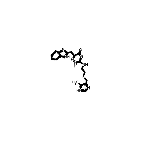 Cc1[nH]cnc1CSCCNc1nc(=O)c(Cc2nc3ccccc3[nH]2)n[nH]1